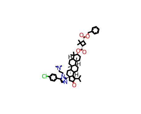 CC(C)C1=C2[C@H]3CC[C@@H]4[C@@]5(C)CC[C@H](OC(=O)[C@H]6C[C@@H](C(=O)OCc7ccccc7)C6(C)C)C(C)(C)[C@@H]5CC[C@@]4(C)[C@]3(C)CC[C@@]2(c2ncc(-c3ccc(Cl)cc3)n2CCN(C)C)CC1=O